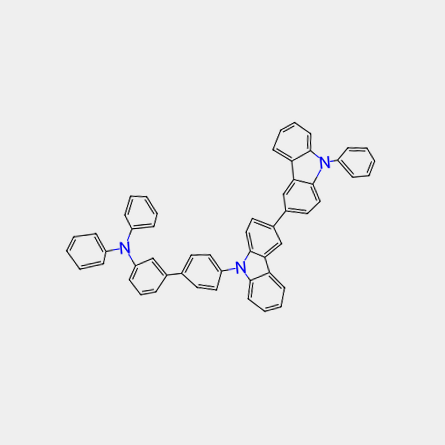 c1ccc(N(c2ccccc2)c2cccc(-c3ccc(-n4c5ccccc5c5cc(-c6ccc7c(c6)c6ccccc6n7-c6ccccc6)ccc54)cc3)c2)cc1